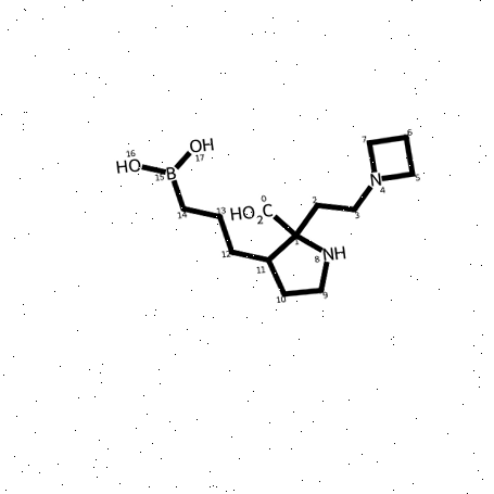 O=C(O)C1(CCN2CCC2)NCCC1CCCB(O)O